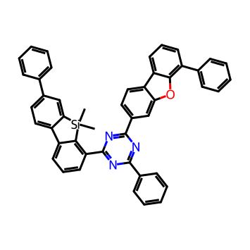 C[Si]1(C)c2cc(-c3ccccc3)ccc2-c2cccc(-c3nc(-c4ccccc4)nc(-c4ccc5c(c4)oc4c(-c6ccccc6)cccc45)n3)c21